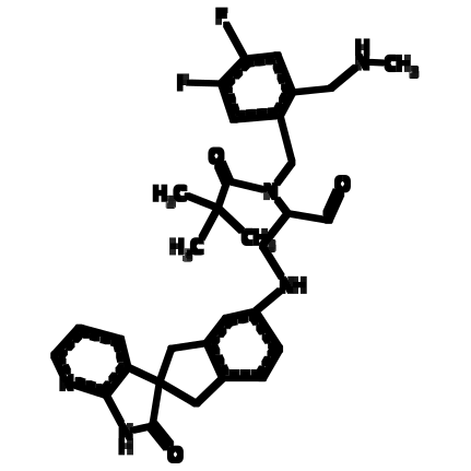 CNCc1cc(F)c(F)cc1CN(C(=O)C(C)(C)C)C(C=O)CNc1ccc2c(c1)CC1(C2)C(=O)Nc2ncccc21